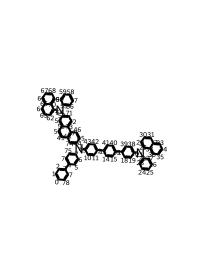 c1ccc(-c2ccc(N(c3ccc(-c4ccc(-c5ccc(N(c6ccccc6)c6cccc7ccccc67)cc5)cc4)cc3)c3ccc4c(ccc5cc(N(c6ccccc6)c6cccc7ccccc67)ccc54)c3)cc2)cc1